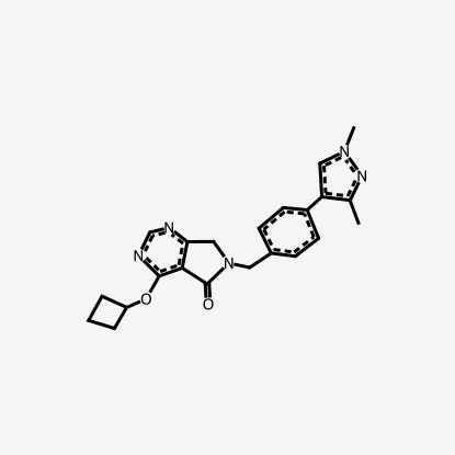 Cc1nn(C)cc1-c1ccc(CN2Cc3ncnc(OC4CCC4)c3C2=O)cc1